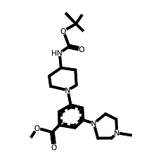 COC(=O)c1cc(N2CCC(NC(=O)OC(C)(C)C)CC2)cc(N2CCN(C)CC2)c1